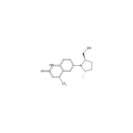 C[C@H]1CC[C@H](CO)N1c1ccc2[nH]c(=O)cc(C(F)(F)F)c2c1